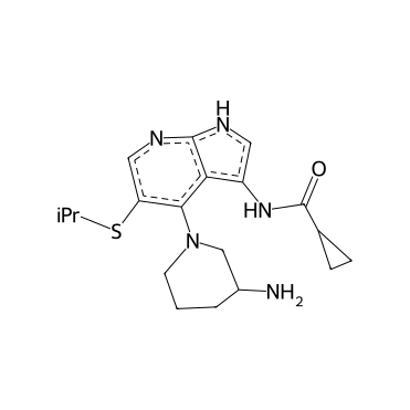 CC(C)Sc1cnc2[nH]cc(NC(=O)C3CC3)c2c1N1CCCC(N)C1